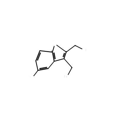 CCc1sc2ccc(Cl)cc2c1CBr